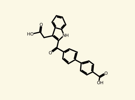 O=C(O)Cc1c(C(=O)c2ccc(-c3ccc(C(=O)O)cc3)cc2)[nH]c2ccccc12